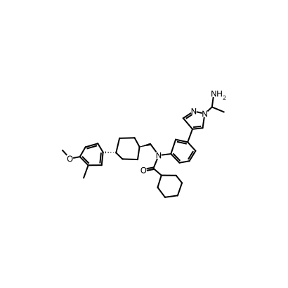 COc1ccc([C@H]2CC[C@H](CN(C(=O)C3CCCCC3)c3cccc(-c4cnn(C(C)N)c4)c3)CC2)cc1C